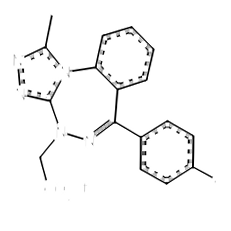 CCOC(=O)CN1N=C(c2ccc(Cl)cc2)c2ccccc2-n2c(C)nnc21